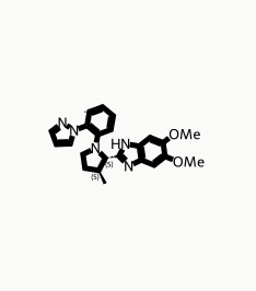 COc1cc2nc([C@@H]3[C@@H](C)CCN3c3ccc[c]c3-n3cccn3)[nH]c2cc1OC